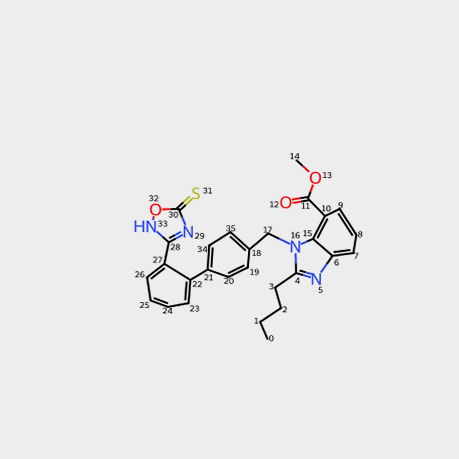 CCCCc1nc2cccc(C(=O)OC)c2n1Cc1ccc(-c2ccccc2-c2nc(=S)o[nH]2)cc1